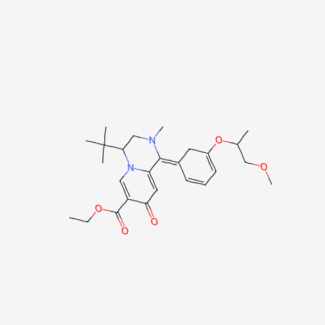 CCOC(=O)c1cn2c(cc1=O)/C(=C1\C=CC=C(OC(C)COC)C1)N(C)CC2C(C)(C)C